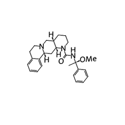 CO[C@@](C)(NC(=O)N1CCC[C@H]2CN3CCc4ccccc4[C@H]3C[C@H]21)c1ccccc1